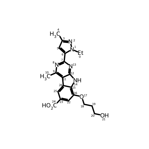 CCn1nc(C)cc1-c1nc(C)c2c(n1)[nH]c1c(OCCCO)cc(C(=O)O)cc12